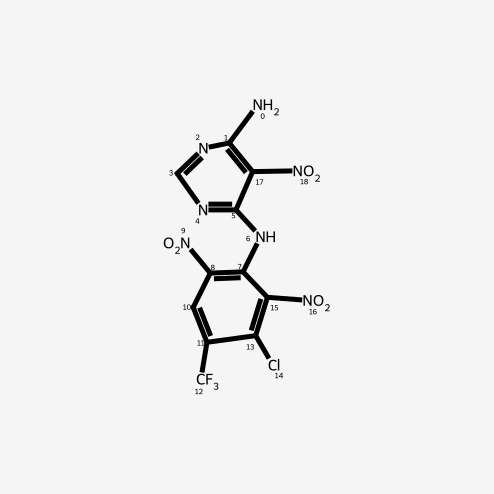 Nc1ncnc(Nc2c([N+](=O)[O-])cc(C(F)(F)F)c(Cl)c2[N+](=O)[O-])c1[N+](=O)[O-]